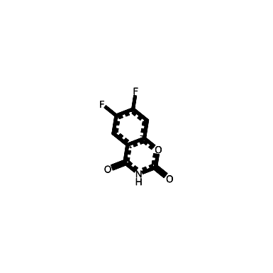 O=c1[nH]c(=O)c2cc(F)c(F)cc2o1